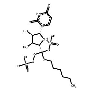 CCCCCCOC(OOP(=O)(O)O)(OP(=O)(O)O)[C@H]1O[C@@H](n2ccc(=O)[nH]c2=O)[C@H](O)[C@@H]1O